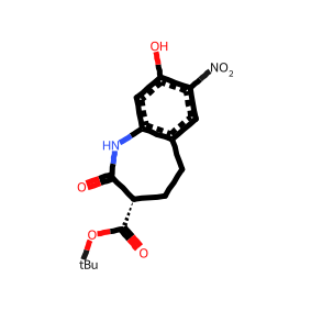 CC(C)(C)OC(=O)[C@H]1CCc2cc([N+](=O)[O-])c(O)cc2NC1=O